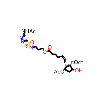 CCCCCCCC[C@@H]1[C@@H](C/C=C\CCCC(=O)OCC/C=N/S(=O)(=O)c2nnc(NC(C)=O)s2)[C@@H](OC(C)=O)C[C@H]1O